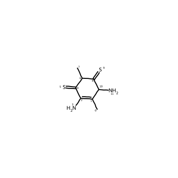 CC1=C(N)C(=S)C(C)C(=S)C1N